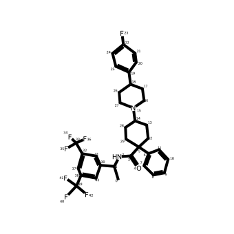 CC(NC(=O)C1(c2ccccc2)CCC(N2CCC(c3ccc(F)cc3)CC2)CC1)c1cc(C(F)(F)F)cc(C(F)(F)F)c1